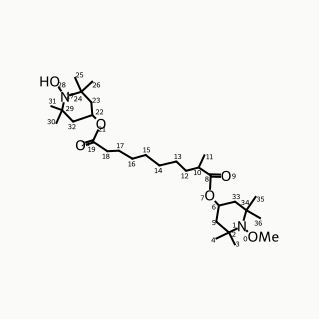 CON1C(C)(C)CC(OC(=O)C(C)CCCCCCCC(=O)OC2CC(C)(C)N(O)C(C)(C)C2)CC1(C)C